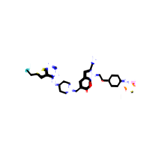 C=CS(=O)(=O)NC1CCC(C(O)Cn2c(C#N)cc3cc(CN4CCC(Nc5ncnc6sc(CC(F)(F)F)cc56)CC4)c(O)cc32)CC1